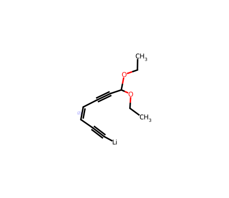 [Li][C]#C/C=C\C#CC(OCC)OCC